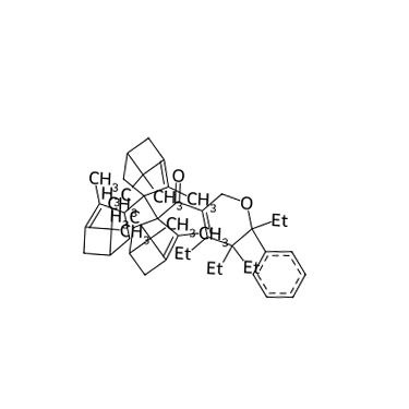 CCC1=C(C(=O)C2(C3(C4CC5CC(=C4C)C5(C)C)CC4CC(=C3C)C4(C)C)CC3CC(=C2C)C3(C)C)COC(CC)(c2ccccc2)C1(CC)CC